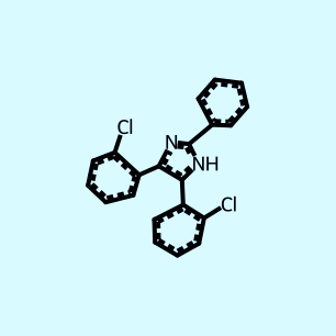 Clc1ccccc1-c1nc(-c2ccccc2)[nH]c1-c1ccccc1Cl